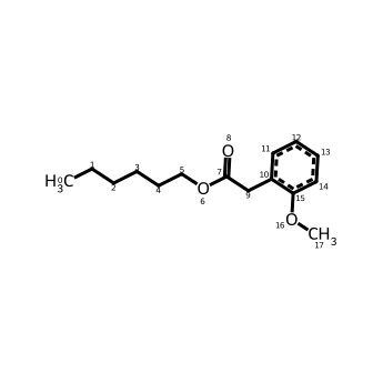 CCCCCCOC(=O)Cc1ccccc1OC